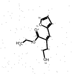 CCOC(=O)C(=Cc1ccco1)CCO